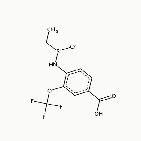 CC[S+]([O-])Nc1ccc(C(=O)O)cc1OC(F)(F)F